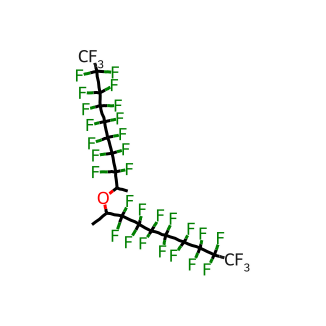 CC(OC(C)C(F)(F)C(F)(F)C(F)(F)C(F)(F)C(F)(F)C(F)(F)C(F)(F)C(F)(F)F)C(F)(F)C(F)(F)C(F)(F)C(F)(F)C(F)(F)C(F)(F)C(F)(F)C(F)(F)F